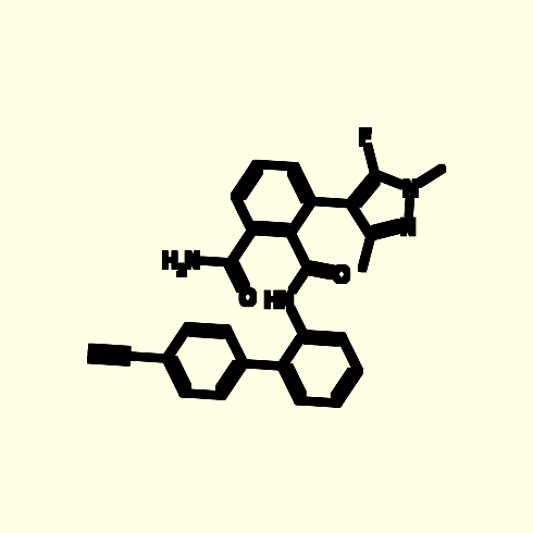 C#Cc1ccc(-c2ccccc2NC(=O)c2c(C(N)=O)cccc2-c2c(C)nn(C)c2F)cc1